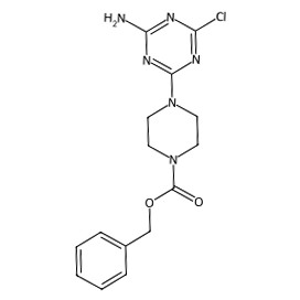 Nc1nc(Cl)nc(N2CCN(C(=O)OCc3ccccc3)CC2)n1